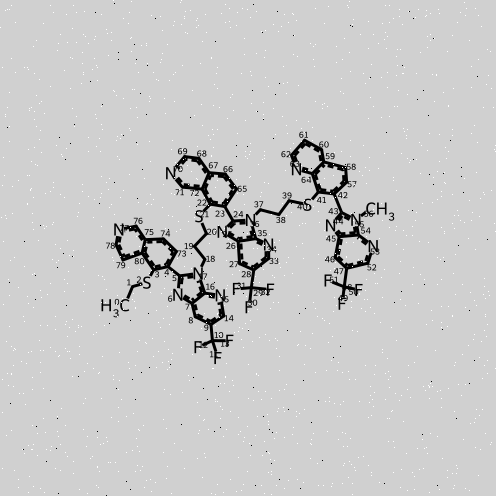 CCSc1c(-c2nc3cc(C(F)(F)F)cnc3n2CCCSc2c(-c3nc4cc(C(F)(F)F)cnc4n3CCCSc3c(-c4nc5cc(C(F)(F)F)cnc5n4C)ccc4cccnc34)ccc3ccncc23)ccc2cnccc12